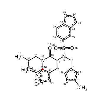 Cc1nc(CN(C(Cc2cscn2)C(=O)N(CC(C)C)CC(C)C)S(=O)(=O)c2ccc3occc3c2)cs1